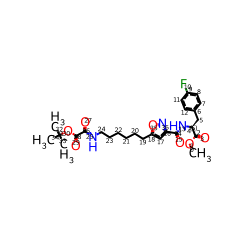 COC(=O)[C@H](Cc1ccc(F)cc1)NC(=O)c1cc(CCCCCCNC(=O)C(=O)OC(C)(C)C)on1